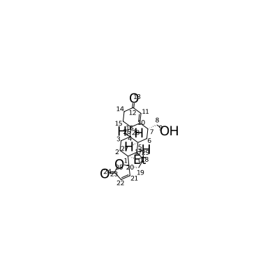 CC[C@]12CC[C@H]3[C@@H](C[C@@H](CO)C4=CC(=O)CC[C@@H]43)[C@@H]1CC[C@@]21C=CC(=O)O1